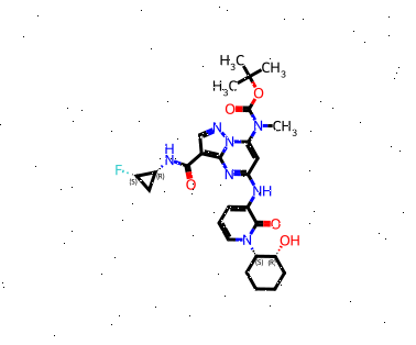 CN(C(=O)OC(C)(C)C)c1cc(Nc2cccn([C@H]3CCCC[C@H]3O)c2=O)nc2c(C(=O)N[C@@H]3C[C@@H]3F)cnn12